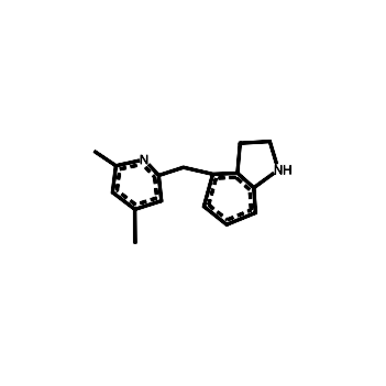 Cc1cc(C)nc(Cc2cccc3c2CCN3)c1